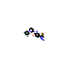 Cn1cc(Br)c(-c2ccc(C(=O)NC3CCCN(c4ccc(F)c(F)c4)C3)c(F)c2)n1